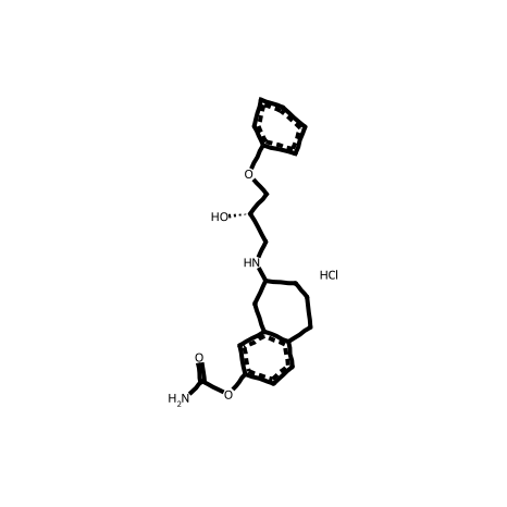 Cl.NC(=O)Oc1ccc2c(c1)CC(NC[C@H](O)COc1ccccc1)CCC2